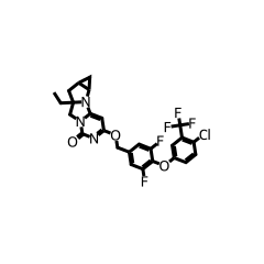 CCC12CC3CC3N1c1cc(OCc3cc(F)c(Oc4ccc(Cl)c(C(F)(F)F)c4)c(F)c3)nc(=O)n1C2